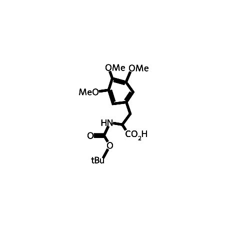 COc1cc(CC(NC(=O)OC(C)(C)C)C(=O)O)cc(OC)c1OC